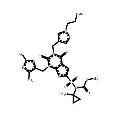 COCCn1cc(Cn2c(=O)c3cc(S(=O)(=O)N(C(=O)OC(C)(C)C)C4(C)CC4)sc3n(Cc3sc(C)nc3C)c2=O)cn1